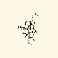 CCN1C[C@]2(COC)CC[C@H](OC)[C@]34C1[C@H](C[C@H]23)[C@@]1(O)C[C@H](OC)[C@H]2C[C@@H]4[C@@H]1[C@H]2O